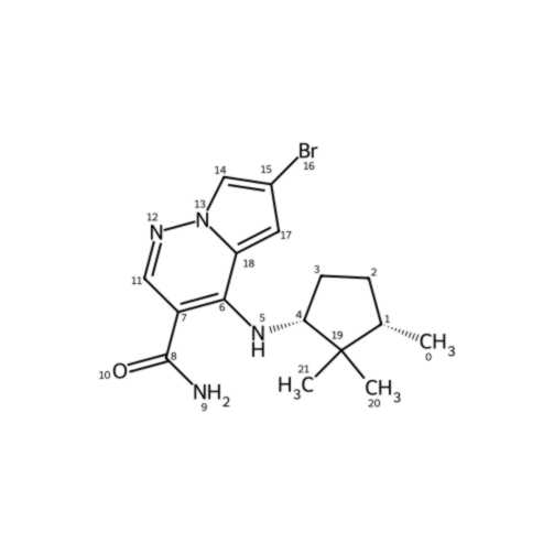 C[C@H]1CC[C@@H](Nc2c(C(N)=O)cnn3cc(Br)cc23)C1(C)C